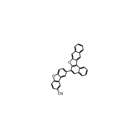 N#Cc1ccc2oc3ccc(-c4cc5ccccc5c5c4oc4cc6ccccc6cc45)cc3c2c1